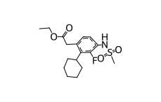 CCOC(=O)Cc1ccc(NS(C)(=O)=O)c(F)c1C1CCCCC1